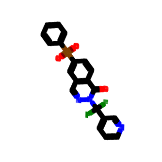 O=c1c2ccc(S(=O)(=O)c3ccccc3)cc2cnn1C(F)(F)c1cccnc1